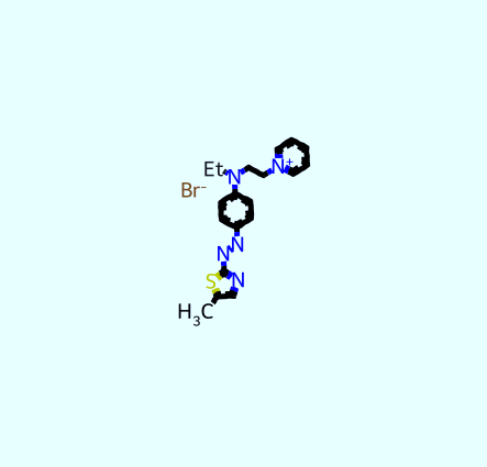 CCN(CC[n+]1ccccc1)c1ccc(N=Nc2ncc(C)s2)cc1.[Br-]